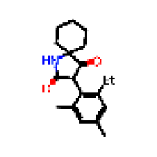 CCc1cc(C)cc(C)c1C1C(=O)NC2(CCCCC2)C1=O